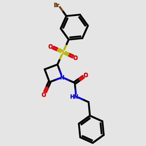 O=C1CC(S(=O)(=O)c2cccc(Br)c2)N1C(=O)NCc1ccccc1